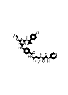 O=C(NCC[C@H](NC(=O)c1ccc(Nc2nc(NC3(c4ccc(Cl)cc4)CC3)nc(OCC(F)(F)F)n2)cc1)C(=O)O)C(=O)Nc1ccncc1